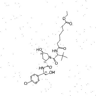 CCOC(=O)CCCCCC(=O)NC(C(=O)N1C[C@H](O)C[C@H]1C(=O)N[C@@H](CO)c1ccc(Cl)cc1)C(C)(C)C